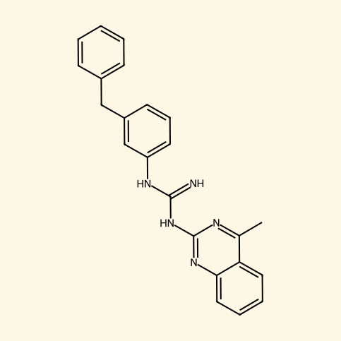 Cc1nc(NC(=N)Nc2cccc(Cc3ccccc3)c2)nc2ccccc12